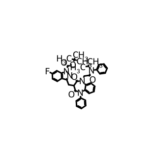 CC(C)N(C(=O)CN1C(=O)C(Cc2nn(C(=O)OC(C)(C)C)c3cc(F)ccc23)C(=O)N(c2ccccc2)c2ccccc21)c1ccccc1